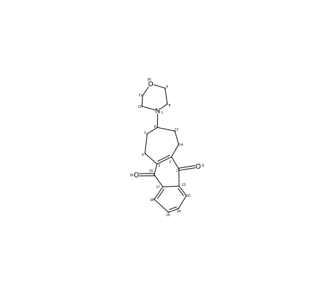 O=C1C2=C(CCC(N3CCOCC3)CC2)C(=O)c2ccccc21